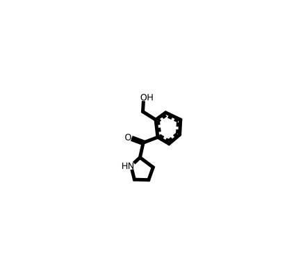 O=C(c1ccccc1CO)C1CCCN1